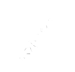 CC1C=C(CNC2CCN(S(=O)(=O)c3ccc(N)cc3)CC2)SC1